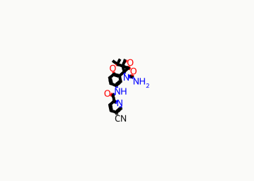 CC1(C)Oc2ccc(NC(=O)c3ccc(C#N)cn3)cc2C23N=C(N)OC24OCC143